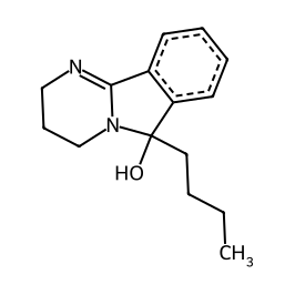 CCCCC1(O)c2ccccc2C2=NCCCN21